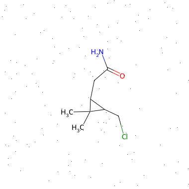 CC1(C)C(CCl)C1CC(N)=O